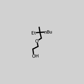 CCCCC(C)(CC)COCCO